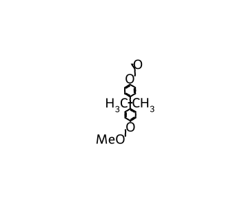 COCCOc1ccc(C(C)(C)c2ccc(OCC3CO3)cc2)cc1